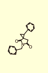 O=C1CC2(CC2c2ccccc2)C(=O)N1Cc1ccccc1